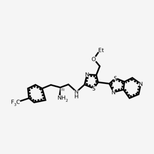 CCOCc1nc(NC[C@@H](N)Cc2ccc(C(F)(F)F)cc2)sc1-c1nc2ccncc2s1